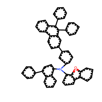 c1ccc(-c2ccc(N(c3cccc(-c4ccc5c(c4)c(-c4ccccc4)c(-c4ccccc4)c4ccccc45)c3)c3cccc4c3oc3ccccc34)c3ccccc23)cc1